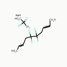 O=C(O)/C=C/CC(F)(F)C(F)(F)C/C=C/C(=O)O.O=C(O)C(F)(F)C(F)(F)F.[NaH]